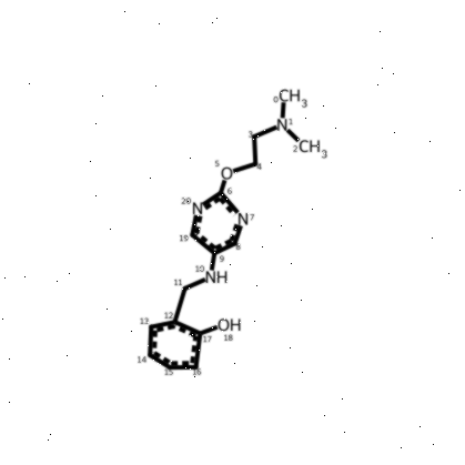 CN(C)CCOc1ncc(NCc2ccccc2O)cn1